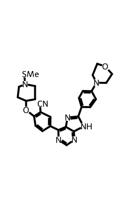 CSN1CCC(Oc2ccc(-c3ncnc4[nH]c(-c5ccc(N6CCOCC6)cc5)nc34)cc2C#N)CC1